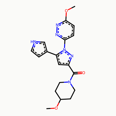 COc1ccc(-n2nc(C(=O)N3CCC(OC)CC3)cc2-c2cc[nH]c2)nn1